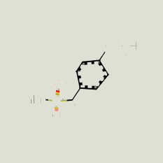 CCCS(=O)(=O)Cc1ccc(C(=O)O)cc1